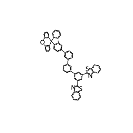 c1cc(-c2cccc(-c3ccc4c(c3)-c3ccccc3C43c4ccccc4Oc4ccccc43)c2)cc(-c2cc(-c3nc4ccccc4s3)cc(-c3nc4ccccc4s3)c2)c1